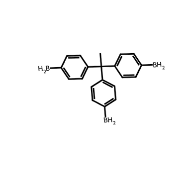 Bc1ccc(C(C)(c2ccc(B)cc2)c2ccc(B)cc2)cc1